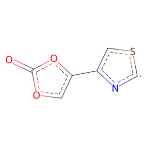 O=c1occ(-c2cs[c]n2)o1